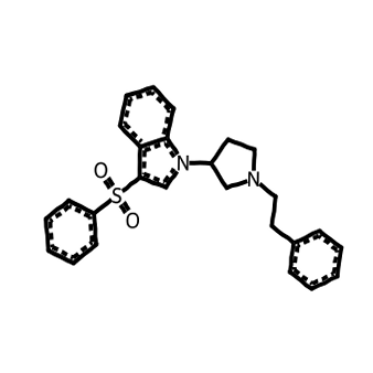 O=S(=O)(c1ccccc1)c1cn(C2CCN(CCc3ccccc3)C2)c2ccccc12